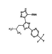 CC(C)Cc1oc(-c2ccc(C(F)(F)F)cn2)nc1-c1nn[nH]c1C#N